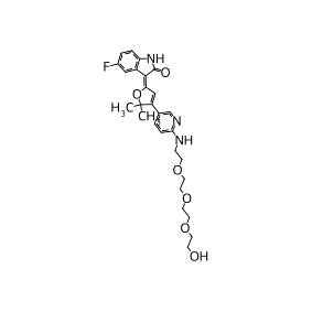 CC1(C)O/C(=C2/C(=O)Nc3ccc(F)cc32)C=C1c1ccc(NCCOCCOCCOCCO)nc1